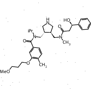 COCCCOc1cc(C(=O)N(C[C@@H]2CNC[C@H]2CN(C)C(=O)C[C@@H](O)c2ccccc2)C(C)C)ccc1C